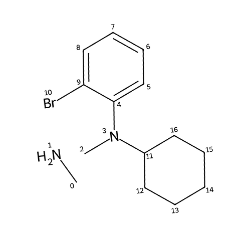 CN.CN(c1ccccc1Br)C1CCCCC1